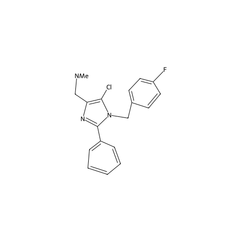 CNCc1nc(-c2ccccc2)n(Cc2ccc(F)cc2)c1Cl